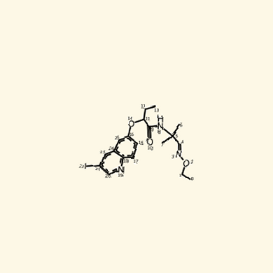 CCON=CC(C)(C)NC(=O)C(CC)Oc1ccc2ncc(I)cc2c1